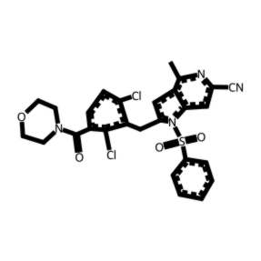 Cc1nc(C#N)cc2c1cc(Cc1c(Cl)ccc(C(=O)N3CCOCC3)c1Cl)n2S(=O)(=O)c1ccccc1